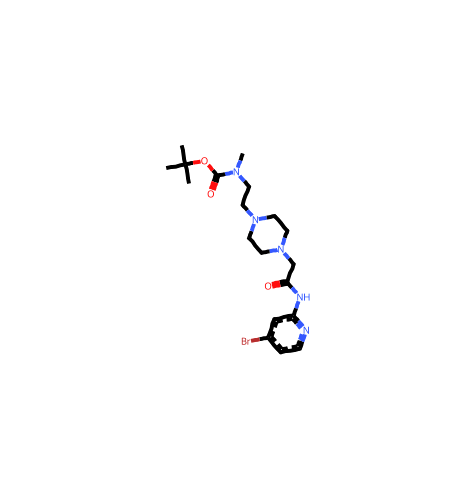 CN(CCN1CCN(CC(=O)Nc2cc(Br)ccn2)CC1)C(=O)OC(C)(C)C